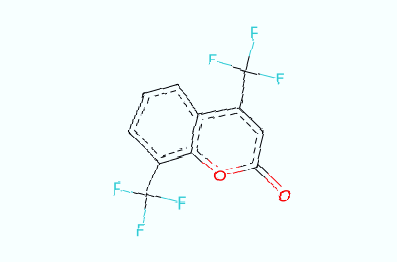 O=c1cc(C(F)(F)F)c2cccc(C(F)(F)F)c2o1